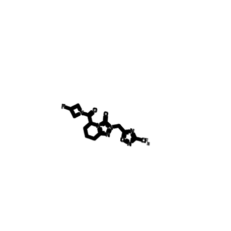 O=C(C1CCCc2nn(Cc3nc(C(F)(F)F)no3)c(=O)n21)N1CC(F)C1